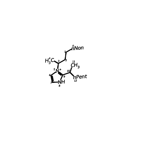 CCCCCCCCCCCC(C)[n+]1cc[nH]c1C(C)CCCCC